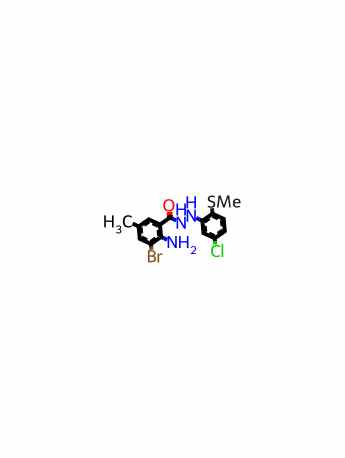 CSc1ccc(Cl)cc1NNC(=O)c1cc(C)cc(Br)c1N